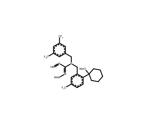 CN/N=C(\N=N)N(Cc1cc(C(F)(F)F)cc(C(F)(F)F)c1)Cc1cc(C(F)(F)F)ccc1C1(OC)CCCCC1